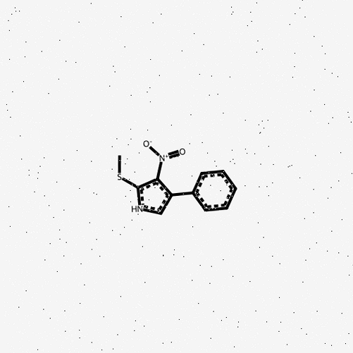 CSc1[nH]cc(-c2ccccc2)c1[N+](=O)[O-]